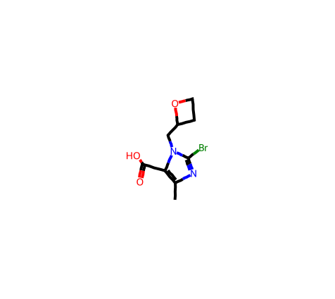 Cc1nc(Br)n(CC2CCO2)c1C(=O)O